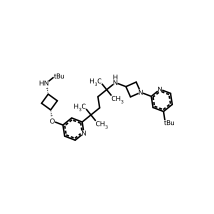 CC(C)(CCC(C)(C)c1cc(O[C@H]2C[C@@H](NC(C)(C)C)C2)ccn1)NC1CN(c2cc(C(C)(C)C)ccn2)C1